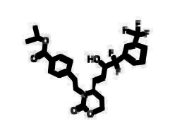 CC(C)OC(=O)c1ccc(CCN2C(=O)OCC[C@@H]2C=CC(O)C(F)(F)c2cccc(C(F)(F)F)c2)cc1